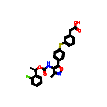 Cc1noc(-c2ccc(Sc3cccc(CC(=O)O)c3)cc2)c1NC(=O)O[C@H](C)c1ccccc1F